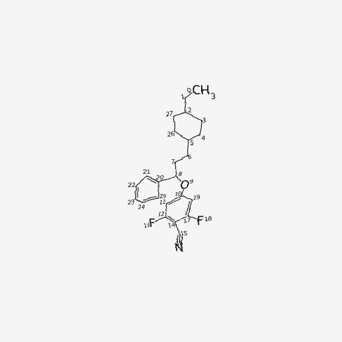 CCC1CCC(CCC(Oc2cc(F)c(C#N)c(F)c2)c2ccccc2)CC1